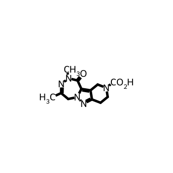 CC1=NN(C)C(=O)c2c3c(nn2C1)CCN(C(=O)O)C3